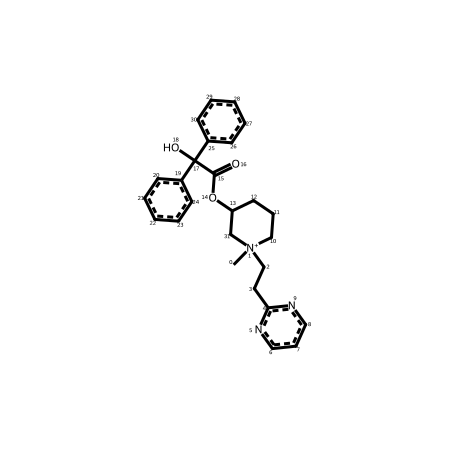 C[N+]1(CCc2ncccn2)CCCC(OC(=O)C(O)(c2ccccc2)c2ccccc2)C1